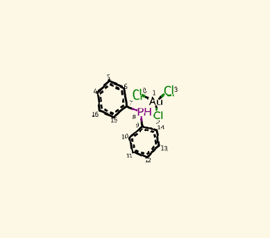 [Cl][Au]([Cl])[Cl].c1ccc(Pc2ccccc2)cc1